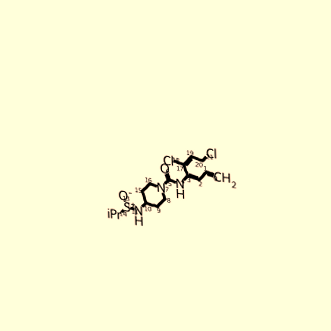 C=C/C=C(NC(=O)N1CCC(N[S+]([O-])C(C)C)CC1)\C(Cl)=C/CCl